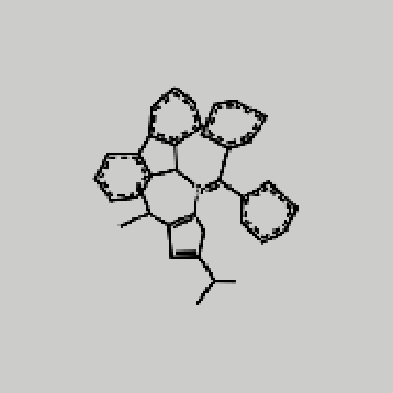 CC(C)C1=CC(C(C)C)=[C]([Zr](=[C](c2ccccc2)c2ccccc2)[CH]2c3ccccc3-c3ccccc32)C1